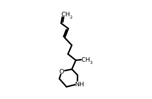 C=CC=CCCC(C)C1CNCCO1